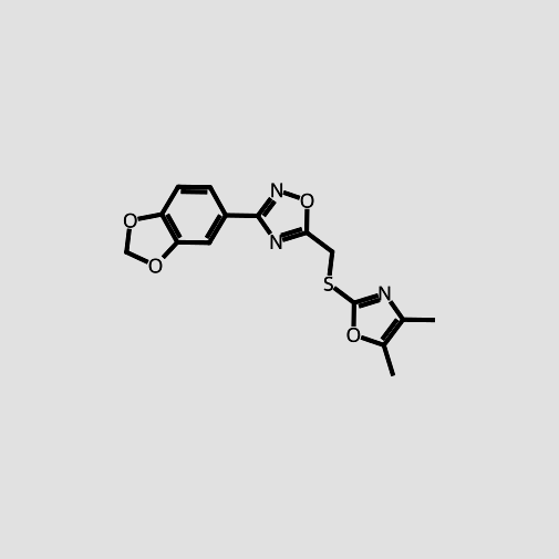 Cc1nc(SCc2nc(-c3ccc4c(c3)OCO4)no2)oc1C